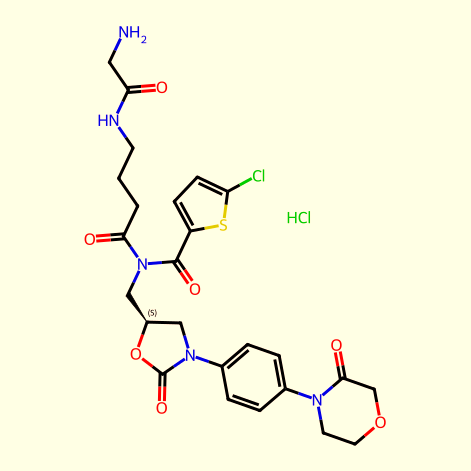 Cl.NCC(=O)NCCCC(=O)N(C[C@H]1CN(c2ccc(N3CCOCC3=O)cc2)C(=O)O1)C(=O)c1ccc(Cl)s1